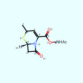 CC(=O)NOC(=O)C1=CC(C)S[C@H]2CC(=O)N12